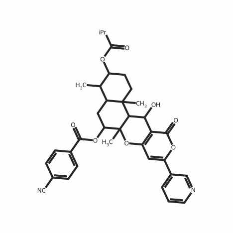 CC(C)C(=O)OC1CCC2(C)C(CC(OC(=O)c3ccc(C#N)cc3)C3(C)Oc4cc(-c5cccnc5)oc(=O)c4C(O)C23)C1C